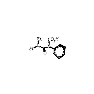 CCN(CC)C(=O)N(C(=O)O)c1ccccc1